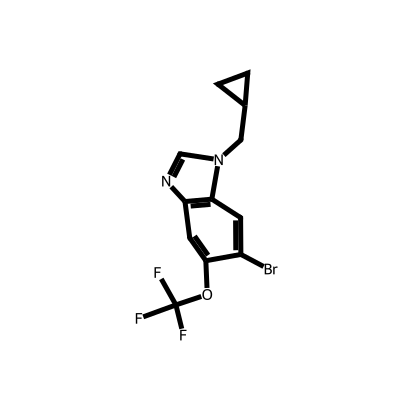 FC(F)(F)Oc1cc2ncn(CC3CC3)c2cc1Br